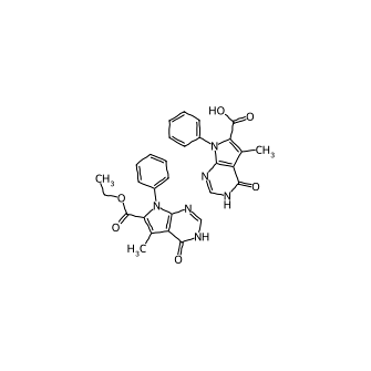 CCOC(=O)c1c(C)c2c(=O)[nH]cnc2n1-c1ccccc1.Cc1c(C(=O)O)n(-c2ccccc2)c2nc[nH]c(=O)c12